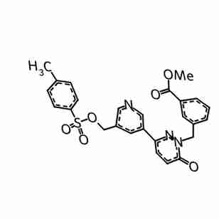 COC(=O)c1cccc(Cn2nc(-c3cncc(COS(=O)(=O)c4ccc(C)cc4)c3)ccc2=O)c1